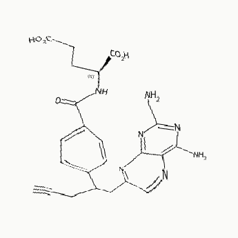 C#CCC(Cc1cnc2c(N)nc(N)nc2n1)c1ccc(C(=O)N[C@@H](CCC(=O)O)C(=O)O)cc1